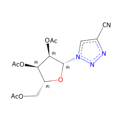 CC(=O)OC[C@H]1O[C@@H](n2cc(C#N)nn2)[C@H](OC(C)=O)[C@@H]1OC(C)=O